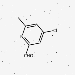 Cc1cc(Cl)cc(C=O)n1